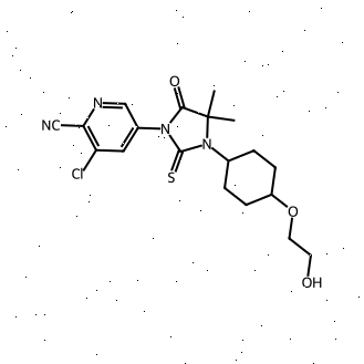 CC1(C)C(=O)N(c2cnc(C#N)c(Cl)c2)C(=S)N1C1CCC(OCCO)CC1